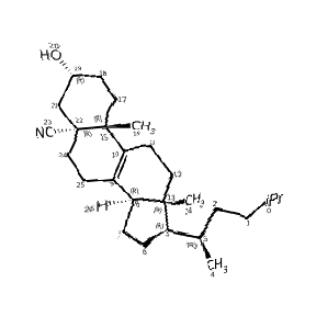 CC(C)CC[C@@H](C)[C@H]1CC[C@H]2C3=C(CC[C@]12C)[C@@]1(C)CC[C@@H](O)C[C@]1(C#N)CC3